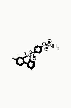 C[C@@H]1c2cc(F)ccc2-c2ccccc2N1S(=O)(=O)c1ccc(OS(N)(=O)=O)cc1